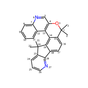 CC1(C)Oc2cnc3ccccc3c2-c2c1ccc1c2C(C)(C)c2cccnc2-1